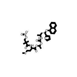 CSCCC(NC(=O)C(C)(C)CO[N+](=O)[O-])C(=O)OC(C)OC(=O)NC(C)C[C@H](Oc1cccc2ccccc12)c1cccs1